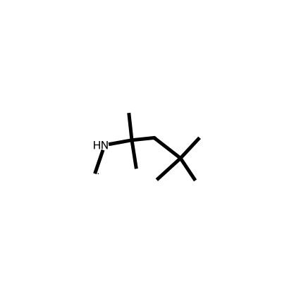 [CH2]NC(C)(C)CC(C)(C)C